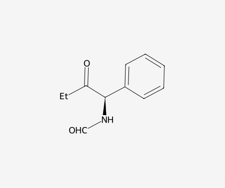 CCC(=O)[C@H](NC=O)c1ccccc1